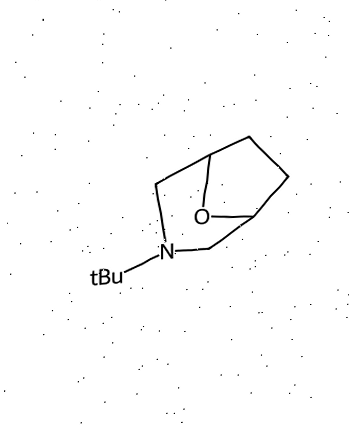 CC(C)(C)N1CC2CCC(C1)O2